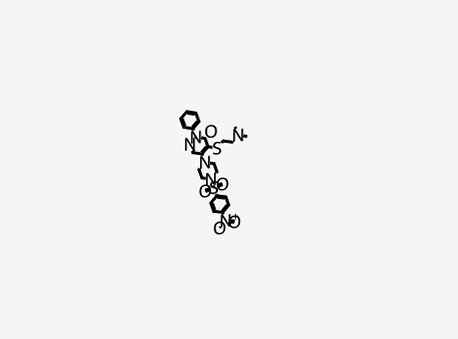 CN(C)CCSc1c(N2CCN(S(=O)(=O)c3ccc([N+](=O)[O-])cc3)CC2)cnn(-c2ccccc2)c1=O